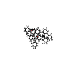 c1ccc(-c2ccccc2-n2c3ccccc3c3cc(N(c4ccccc4)c4ccc5c(c4)C4(c6ccccc6S5)c5ccccc5-c5cccc6cccc4c56)ccc32)cc1